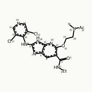 CCNC(=O)c1cc2nc(Nc3c(Cl)cncc3Cl)[nH]c2nc1OCCN(C)C(C)=O